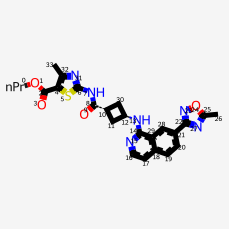 CCCOC(=O)c1sc(NC(=O)[C@H]2C[C@@H](Nc3nccc4ccc(-c5noc(C)n5)cc34)C2)nc1C